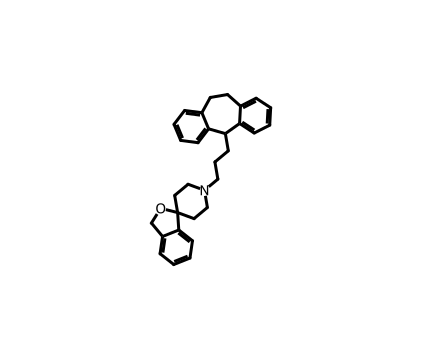 c1ccc2c(c1)CCc1ccccc1C2CCCN1CCC2(CC1)OCc1ccccc12